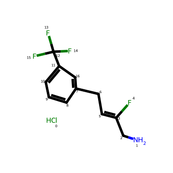 Cl.NCC(F)=CCc1cccc(C(F)(F)F)c1